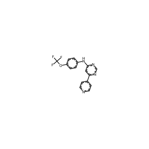 FC(F)(F)Oc1ccc(Nc2cc(-c3ccncc3)ncn2)cc1